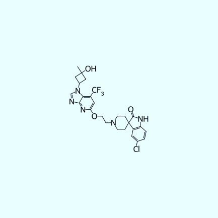 CC1(O)CC(n2cnc3nc(OCCN4CCC5(CC4)C(=O)Nc4ccc(Cl)cc45)cc(C(F)(F)F)c32)C1